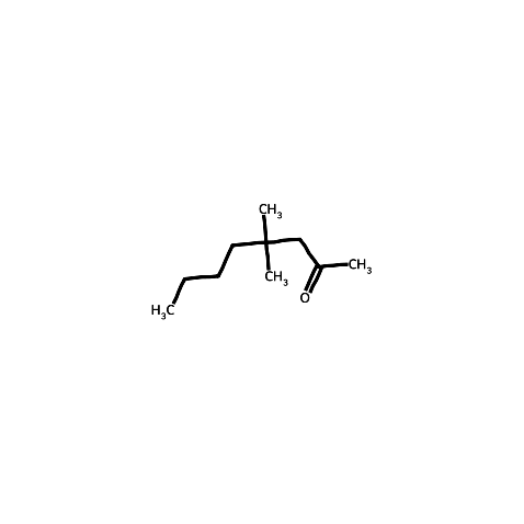 CCCCC(C)(C)CC(C)=O